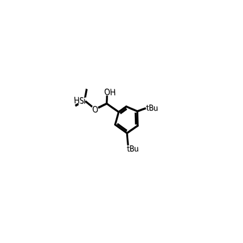 C[SiH](C)OC(O)c1cc(C(C)(C)C)cc(C(C)(C)C)c1